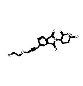 O=C1CCC(N2C(=O)c3ccc(C#CCOCCO)cc3C2=O)C(=O)N1